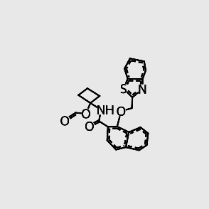 O=COC1(NC(=O)c2ccc3ccccc3c2OCc2nc3ccccc3s2)CCC1